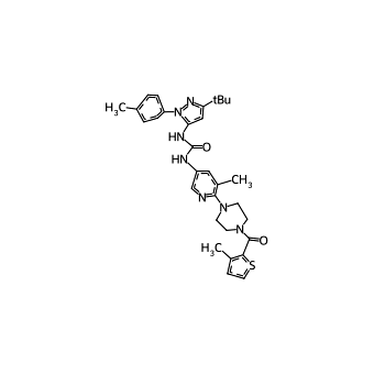 Cc1ccc(-n2nc(C(C)(C)C)cc2NC(=O)Nc2cnc(N3CCN(C(=O)c4sccc4C)CC3)c(C)c2)cc1